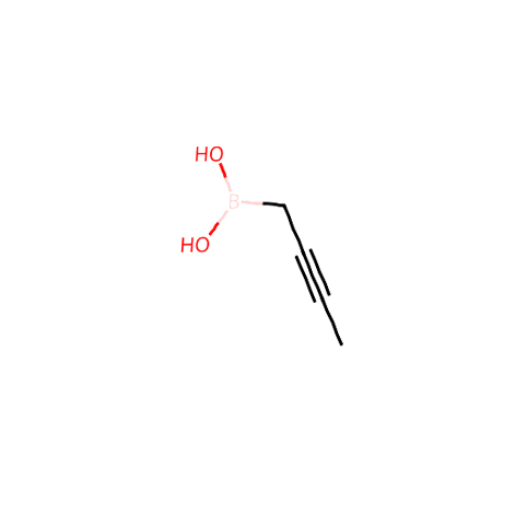 CC#CCB(O)O